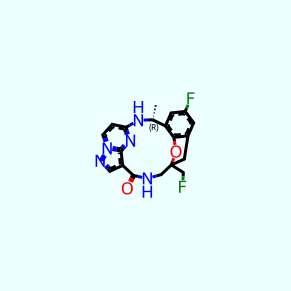 C[C@H]1Nc2ccn3ncc(c3n2)C(=O)NCC2(CF)Cc3cc(F)cc1c3O2